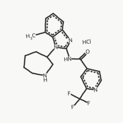 Cc1cccc2nc(NC(=O)c3ccnc(C(F)(F)F)c3)n(C3CCCCNC3)c12.Cl